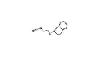 [N-]=[N+]=NCCOc1ccc2ccccc2c1